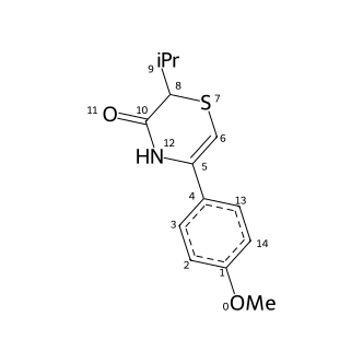 COc1ccc(C2=CSC(C(C)C)C(=O)N2)cc1